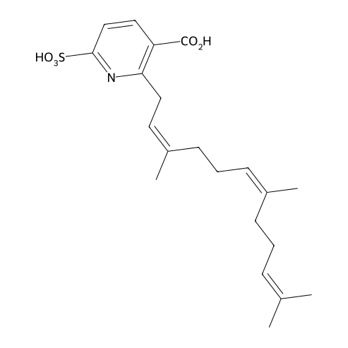 CC(C)=CCCC(C)=CCCC(C)=CCc1nc(S(=O)(=O)O)ccc1C(=O)O